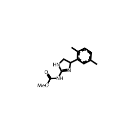 COC(=O)NC1=NC(c2cc(C)ccc2C)CN1